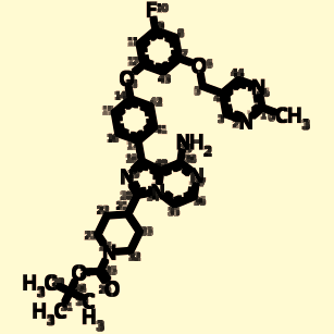 Cc1ncc(COc2cc(F)cc(Oc3ccc(-c4nc(C5CCN(C(=O)OC(C)(C)C)CC5)n5ccnc(N)c45)cc3)c2)cn1